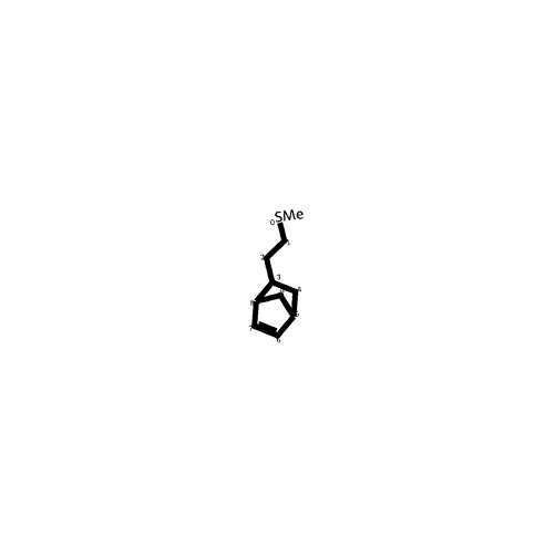 CSCCC1CC2C=CC1C2